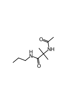 CCCNC(=O)C(C)(C)NC(C)=O